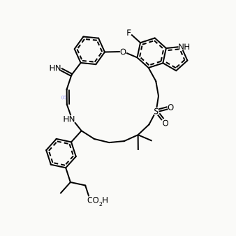 CC(CC(=O)O)c1cccc(C2CCCC(C)(C)CS(=O)(=O)CCc3c(c(F)cc4[nH]ccc34)Oc3cccc(c3)C(=N)/C=C\N2)c1